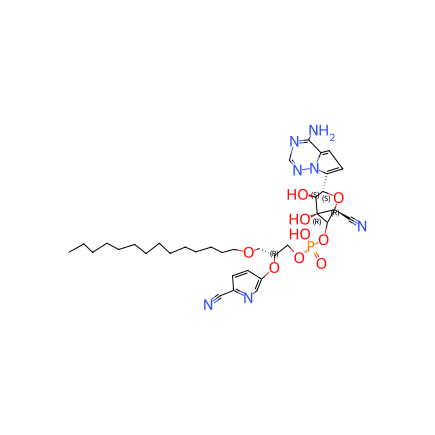 CCCCCCCCCCCCCCOC[C@H](COP(=O)(O)OC1[C@@]2(C#N)O[C@@H](c3ccc4c(N)ncnn34)[C@H](O)[C@@]12O)Oc1ccc(C#N)nc1